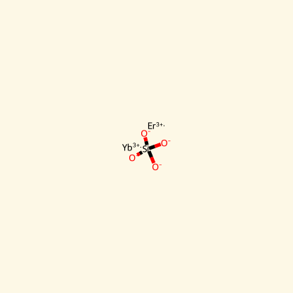 [Er+3].[O-][Si]([O-])([O-])[O-].[Yb+3]